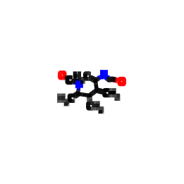 C=C(N=C=O)C(=C)C(=C)C(=C)N=C=O